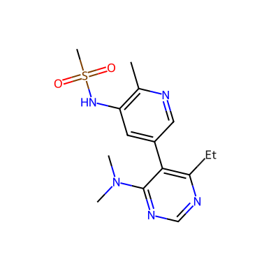 CCc1ncnc(N(C)C)c1-c1cnc(C)c(NS(C)(=O)=O)c1